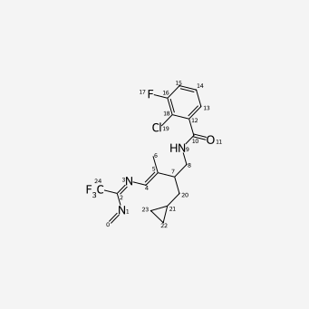 C=N/C(=N\C=C(/C)C(CNC(=O)c1cccc(F)c1Cl)CC1CC1)C(F)(F)F